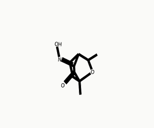 CC1OC2(C)CCC1C(=NO)C2=O